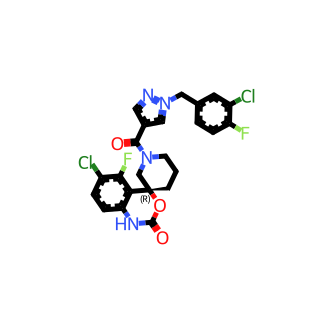 O=C1Nc2ccc(Cl)c(F)c2[C@@]2(CCCN(C(=O)c3cnn(Cc4ccc(F)c(Cl)c4)c3)C2)O1